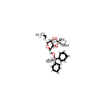 C=CC[C@H]1O[C@@H](CO[Si](c2ccccc2)(c2ccccc2)C(C)(C)C)[C@H](O[Si](C)(C)C(C)(C)C)[C@H]1O